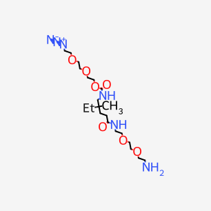 CCC(C)(CCC(=O)NCCOCCOCCN)CNC(=O)OCCOCCOCCN=[N+]=[N-]